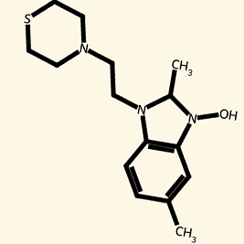 Cc1ccc2c(c1)N(O)C(C)N2CCN1CCSCC1